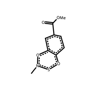 COC(=O)c1ccc2osn(C)oc2c1